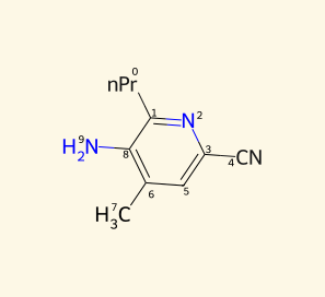 CCCc1nc(C#N)cc(C)c1N